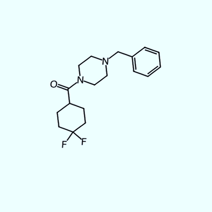 O=C(C1CCC(F)(F)CC1)N1CCN(Cc2ccccc2)CC1